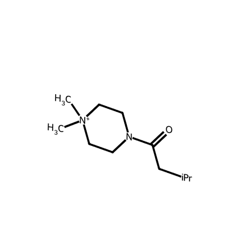 CC(C)CC(=O)N1CC[N+](C)(C)CC1